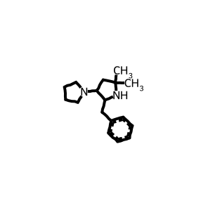 CC1(C)CC(N2CCCC2)C(Cc2ccccc2)N1